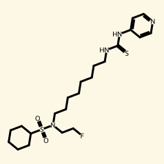 O=S(=O)(C1CCCCC1)N(CCF)CCCCCCCCNC(=S)Nc1ccncc1